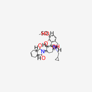 CS(=O)(=O)O.O=C1[C@H]2CC=CC[C@H]2C(=O)N1[C@@H]1CC[C@@]2(O)[C@H]3Cc4ccc(O)c5c4[C@@]2(CCN3CC2CC2)[C@H]1O5